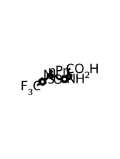 CCCc1nc(-c2ccc(C(F)(F)F)cc2)sc1COc1ccc2[nH]cc(CC(=O)O)c2c1